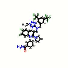 Cn1nnc(N(Cc2cc(C(F)(F)F)cc(C(F)(F)F)c2)Cc2cc3cc(F)c(F)cc3nc2N2CCC[C@@H]2C2CCC(C(N)=O)CC2)n1